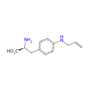 C=CCNc1ccc(C[C@H](N)C(=O)O)cc1